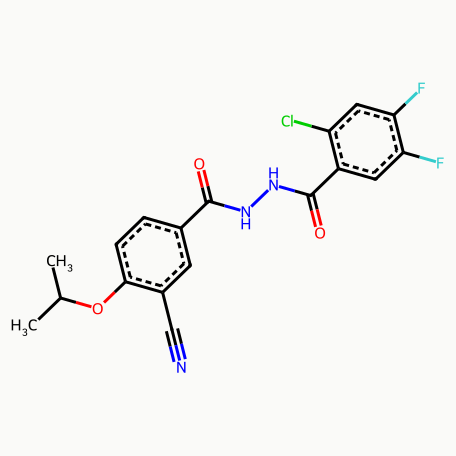 CC(C)Oc1ccc(C(=O)NNC(=O)c2cc(F)c(F)cc2Cl)cc1C#N